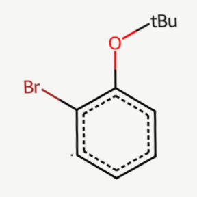 CC(C)(C)Oc1ccc[c]c1Br